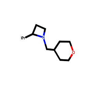 CC(C)C1CCN1CC1CCOCC1